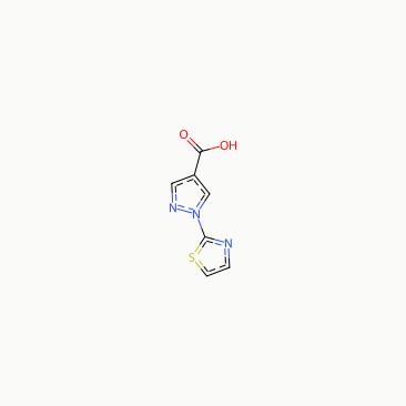 O=C(O)c1cnn(-c2nccs2)c1